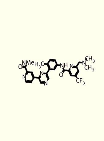 CNC(=O)c1cc(-c2cncc(-c3cc(NC(=O)c4cc(C(F)(F)F)cc(CN(C)C)n4)ccc3C)n2)ccn1